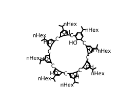 CCCCCCC(C)C1=CC2CC3=CC(C(C)CCCCCC)=CC(CC4=CC(C(C)CCCCCC)=CC(CC5C=C(C(C)CCCCCC)C=C(CC6C=C(C(C)CCCCCC)C=C(CC7=CC(C(C)CCCCCC)=CC(CC8C=C(C(C)CCCCCC)C=C(CC9C=C(C(C)CCCCCC)C=C(CC(=C1)C2O)C9O)C8O)C7O)C6O)C5O)C4O)C3O